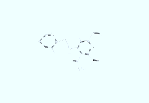 C=Cc1nc(C(=O)OC)c(C=C)c(NCc2ncccc2Cl)c1F